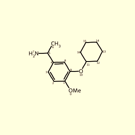 COc1ccc(C(C)N)cc1OC1CCCCC1